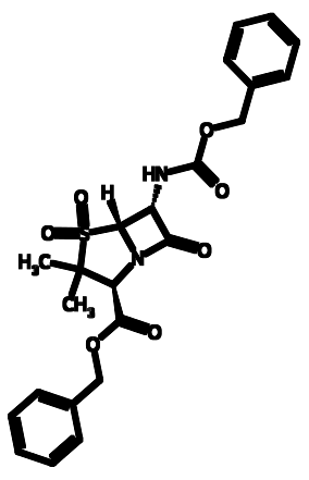 CC1(C)[C@H](C(=O)OCc2ccccc2)N2C(=O)[C@@H](NC(=O)OCc3ccccc3)[C@H]2S1(=O)=O